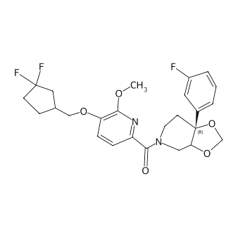 COc1nc(C(=O)N2CC[C@]3(c4cccc(F)c4)OCOC3C2)ccc1OCC1CCC(F)(F)C1